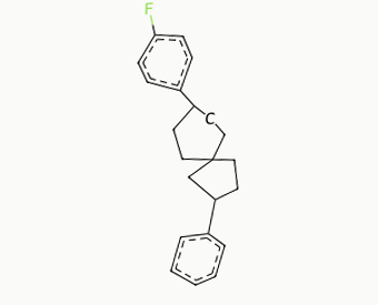 Fc1ccc(C2CCC3(CC2)CCC(c2ccccc2)C3)cc1